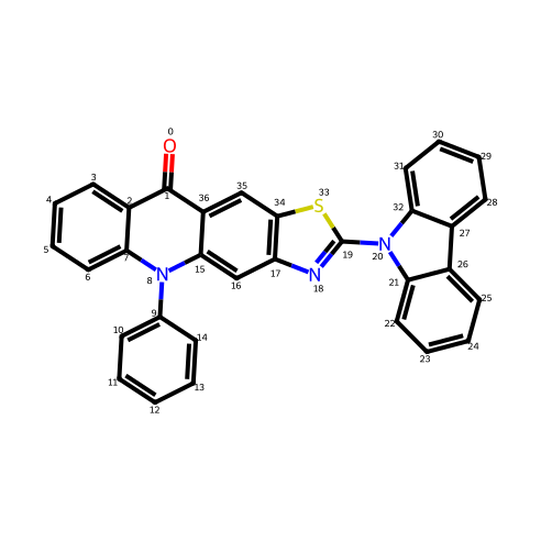 O=c1c2ccccc2n(-c2ccccc2)c2cc3nc(-n4c5ccccc5c5ccccc54)sc3cc12